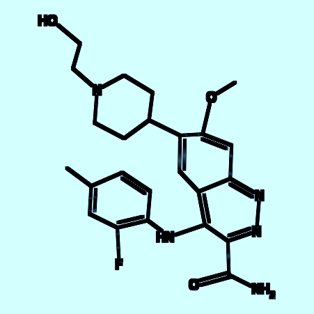 COc1cc2nnc(C(N)=O)c(Nc3ccc(C)cc3F)c2cc1C1CCN(CCO)CC1